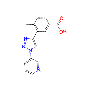 Cc1ccc(C(=O)O)cc1-c1cn(-c2cccnc2)nn1